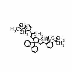 C[Si](C)(C)c1cccc(C2=CC3=C([SiH2]2)C2=C(C=C(c4cccc([Si](C)(C)C)c4)[SiH2]2)C3(c2ccccc2)c2ccccc2)c1